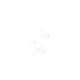 CC1CC2(CC(c3cn(C)nn3)N1)OC=C(O)c1ccsc12